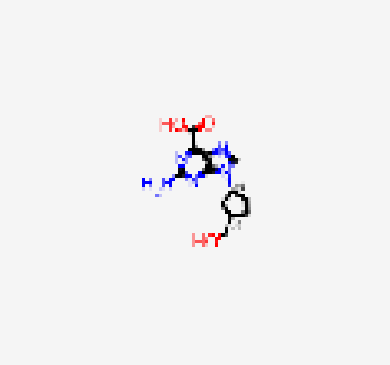 Nc1nc(C(=O)O)c2ncn([C@H]3C=C[C@@H](CO)C3)c2n1